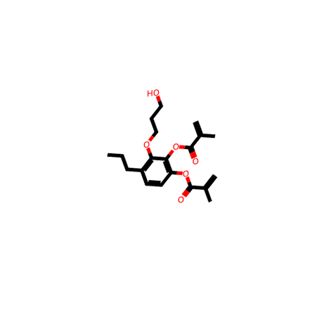 C=C(C)C(=O)Oc1ccc(CCC)c(OCCCO)c1OC(=O)C(=C)C